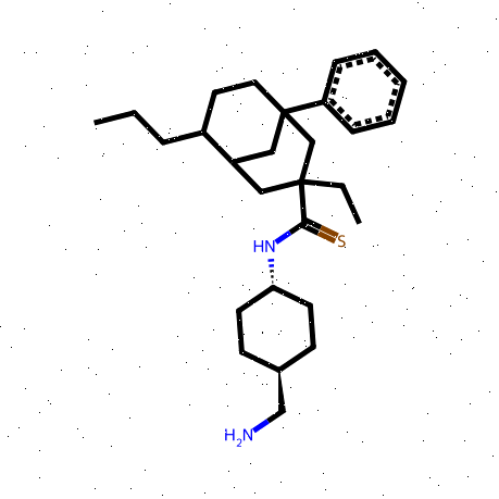 CCCC1CCC2(c3ccccc3)CC1CC(CC)(C(=S)N[C@H]1CC[C@H](CN)CC1)C2